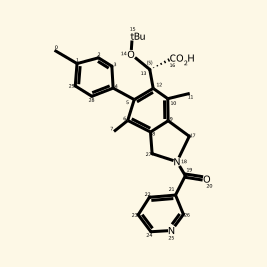 Cc1ccc(-c2c(C)c3c(c(C)c2[C@H](OC(C)(C)C)C(=O)O)CN(C(=O)c2cccnc2)C3)cc1